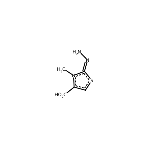 Cn1c(C(=O)O)cs/c1=N/N